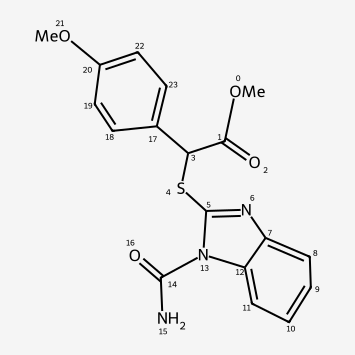 COC(=O)C(Sc1nc2ccccc2n1C(N)=O)c1ccc(OC)cc1